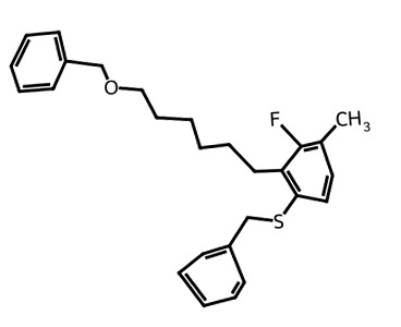 Cc1ccc(SCc2ccccc2)c(CCCCCCOCc2ccccc2)c1F